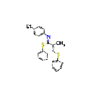 CCc1ccc(N=C(Sc2ccccc2)/C(C)=C/Sc2ccccc2)cc1